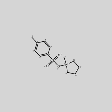 Cc1ccc(S(=O)(=O)O[N+]2(C)CCCC2)cc1